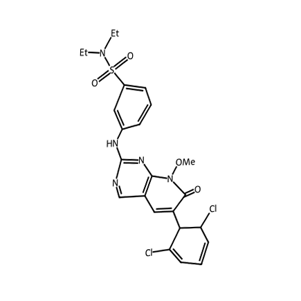 CCN(CC)S(=O)(=O)c1cccc(Nc2ncc3cc(C4C(Cl)=CC=CC4Cl)c(=O)n(OC)c3n2)c1